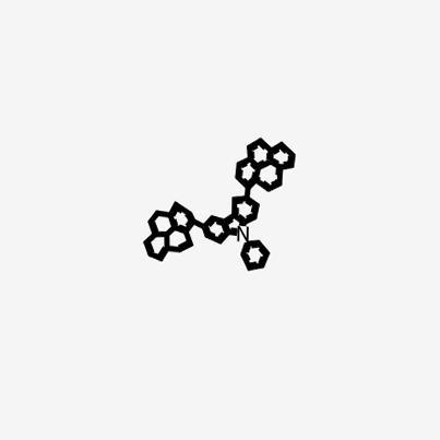 C1=CC2=CCc3ccc(-c4ccc5c(c4)c4cc(-c6ccc7ccc8cccc9ccc6c7c89)ccc4n5-c4ccccc4)c4c3C2C(=C1)C=C4